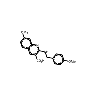 COc1ccc(CNc2nc3cc(OC)ccc3cc2C(=O)O)cc1